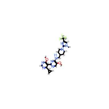 COc1cnc(-c2c(OC)ncnc2C2CC2)nc1NCC1CCN(c2nc(C(F)(F)F)cn2C)CC1